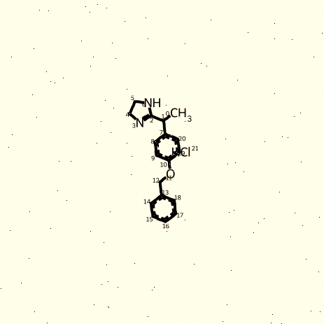 CC(C1=NCCN1)c1ccc(OCc2ccccc2)cc1.Cl